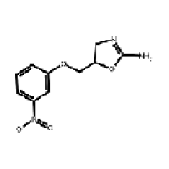 NC1=NCC(COc2cccc([N+](=O)[O-])c2)O1